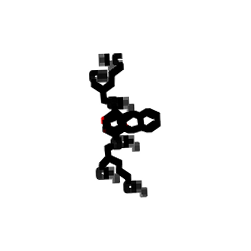 CCCCC(CC)COc1ccc(OCC(CC)CCCC)c2c1C1C3=C(C(C)CC=C3C)C2C2C=CC=CC12